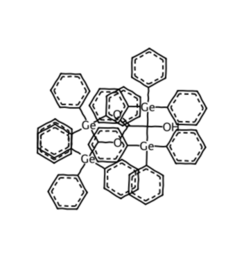 O=C(O[CH]([Ge]([c]1ccccc1)([c]1ccccc1)[c]1ccccc1)[Ge]([c]1ccccc1)([c]1ccccc1)[c]1ccccc1)[C](O)([Ge]([c]1ccccc1)([c]1ccccc1)[c]1ccccc1)[Ge]([c]1ccccc1)([c]1ccccc1)[c]1ccccc1